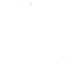 CC1O[C@H]1CCCC=CC(=O)O